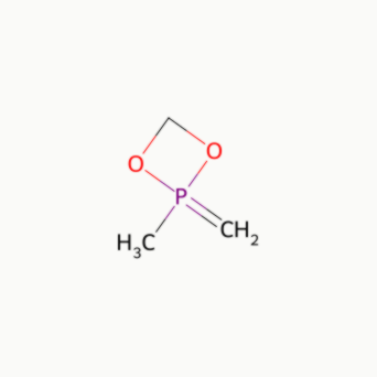 C=P1(C)OCO1